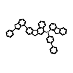 C1=C(c2ccccc2)Cc2cccc(-c3ccc4c(c3)-c3c(cc(N(c5ccc(-c6ccccc6)cc5)c5cccc6c5Cc5ccccc5-6)c5ccccc35)C4)c21